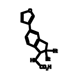 CCC1(CC)Cc2cc(-c3ccoc3)ccc2C1NC(=O)O